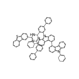 C1=CCCC(n2c3ccccc3c3c(-c4cccc5c4c4ccc(C6C=CC=CC6)cc4n5-c4cc(-c5ccccc5)ccc4C4N=C(c5cccc(-c6ccccc6)c5)N=C(c5ccc6sc7ccccc7c6c5)N4)cccc32)=C1